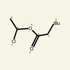 CCC(C)CC(=O)OC(C)Cl